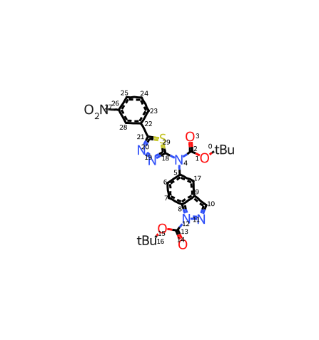 CC(C)(C)OC(=O)N(c1ccc2c(cnn2C(=O)OC(C)(C)C)c1)c1nnc(-c2cccc([N+](=O)[O-])c2)s1